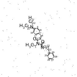 CCN1C(=O)/C(=C\c2ccc(N(CC)CC)cc2)OC1=NC1CC1c1ccccc1